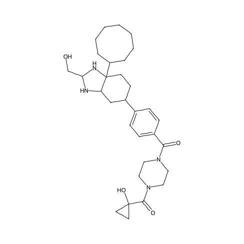 O=C(c1ccc(C2CCC3(C4CCCCCCC4)NC(CO)NC3C2)cc1)N1CCN(C(=O)C2(O)CC2)CC1